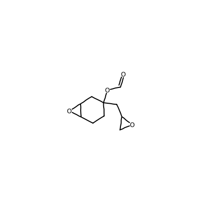 O=COC1(CC2CO2)CCC2OC2C1